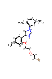 CNc1ccc([N+](=O)[O-])cc1-n1cnc(-c2ccc(C(F)(F)F)cc2OCCOCCBr)c1